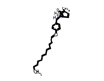 CCCCCCCCCCCCOc1ccc(/C=C2/C(=O)C3(C)CCC2C3(C)C)cc1